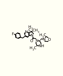 C[C@@H]1CN(CC(=O)N2CC(C)(C)c3ncc(Cc4ccc(F)cc4)cc32)[C@@H](CN2CCOC[C@@H]2C)CN1